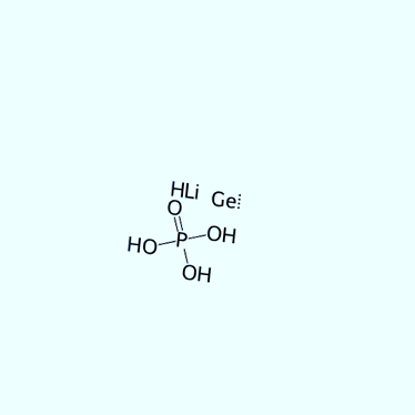 O=P(O)(O)O.[Ge].[LiH]